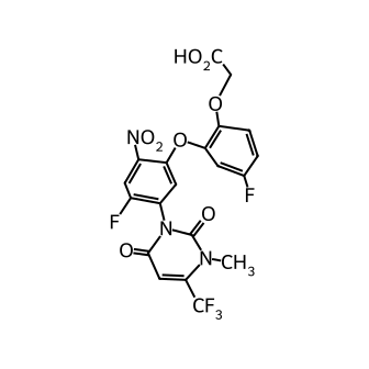 Cn1c(C(F)(F)F)cc(=O)n(-c2cc(Oc3cc(F)ccc3OCC(=O)O)c([N+](=O)[O-])cc2F)c1=O